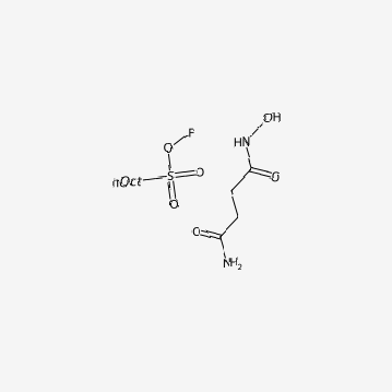 CCCCCCCCS(=O)(=O)OF.NC(=O)CCC(=O)NO